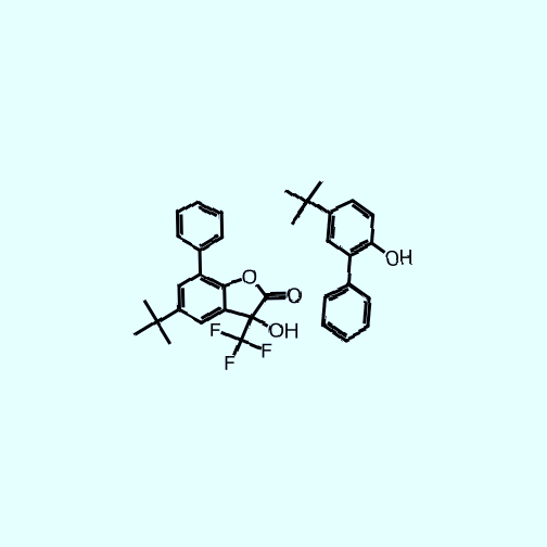 CC(C)(C)c1cc(-c2ccccc2)c2c(c1)C(O)(C(F)(F)F)C(=O)O2.CC(C)(C)c1ccc(O)c(-c2ccccc2)c1